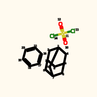 C1C2CC3CC1CC(C2)C3.O=S(=O)(Cl)Cl.c1ccccc1